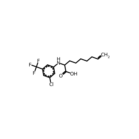 C=CCCCCCC(Nc1cc(Cl)cc(C(F)(F)F)c1)C(=O)O